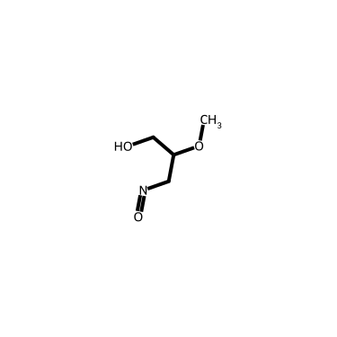 COC(CO)CN=O